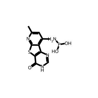 Cc1cc(C)c2c(n1)sc1c(=O)[nH]cnc12.NP(O)O